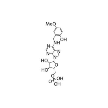 COc1ccc(O)c(CNc2ncnc3c2ncn3[C@@H]2O[C@H](COP(=O)(O)O)[C@@H](O)[C@H]2O)c1